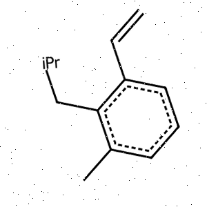 C=Cc1cccc(C)c1CC(C)C